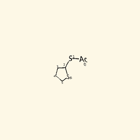 CC(=O)SC1CCCS1